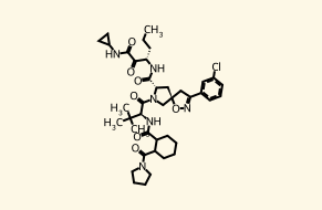 CCC[C@H](NC(=O)[C@@H]1C[C@]2(CC(c3cccc(Cl)c3)=NO2)CN1C(=O)[C@@H](NC(=O)C1CCCCC1C(=O)N1CCCC1)C(C)(C)C)C(=O)C(=O)NC1CC1